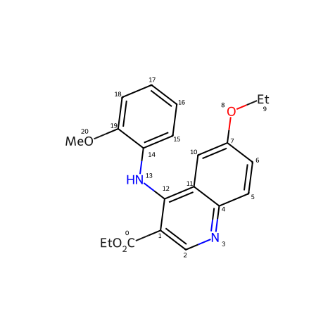 CCOC(=O)c1cnc2ccc(OCC)cc2c1Nc1ccccc1OC